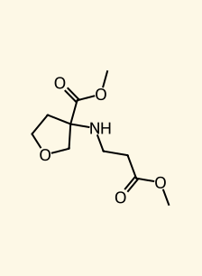 COC(=O)CCNC1(C(=O)OC)CCOC1